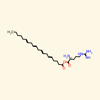 CCCCCC=CCC=CCC=CCC=CCCCC(=O)OC(=O)[C@@H](N)CCCNC(=N)N